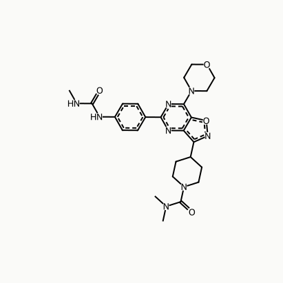 CNC(=O)Nc1ccc(-c2nc(N3CCOCC3)c3onc(C4CCN(C(=O)N(C)C)CC4)c3n2)cc1